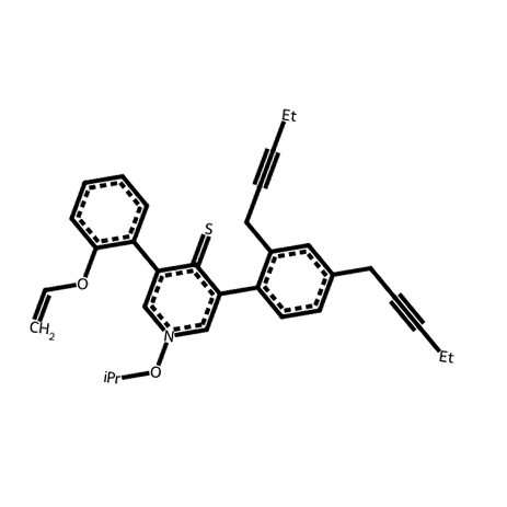 C=COc1ccccc1-c1cn(OC(C)C)cc(-c2ccc(CC#CCC)cc2CC#CCC)c1=S